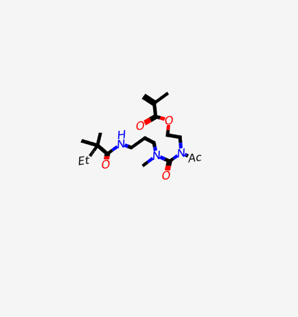 C=C(C)C(=O)OCCN(C(C)=O)C(=O)N(C)CCCNC(=O)C(C)(C)CC